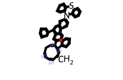 C=C1/C=C\C=C/C/C=C(c2ccc3c(c2)c(-c2ccccc2)cc2cc(N4c5ccccc5Sc5ccccc54)ccc23)\C(c2ccccc2)=C/1